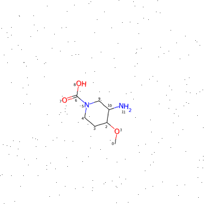 COC1CCN(C(=O)O)CC1N